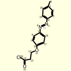 Cc1ccc(/N=N/c2ccc(OCCC(=O)Cl)cc2)cc1